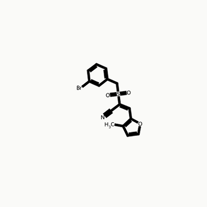 Cc1ccoc1/C=C(\C#N)S(=O)(=O)Cc1cccc(Br)c1